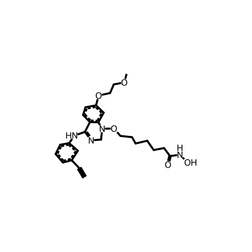 C#Cc1cccc(NC2=NCN(OCCCCCCC(=O)NO)c3cc(OCCOC)ccc32)c1